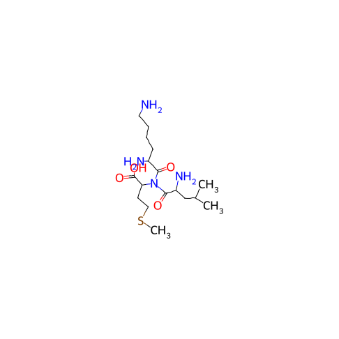 CSCCC(C(=O)O)N(C(=O)C(N)CCCCN)C(=O)C(N)CC(C)C